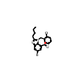 CCCCc1nc2cc(Br)cc(C(=O)O)c2n1Cc1ccccc1Cl